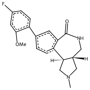 COc1cc(F)ccc1-c1ccc2c(c1)C(=O)NC[C@@H]1CN(C)C[C@@H]21